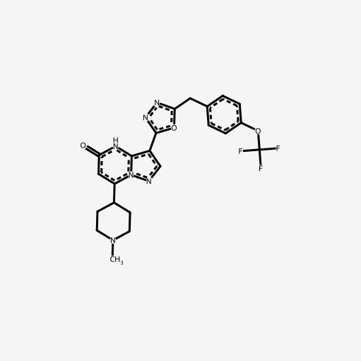 CN1CCC(c2cc(=O)[nH]c3c(-c4nnc(Cc5ccc(OC(F)(F)F)cc5)o4)cnn23)CC1